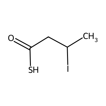 CC(I)CC(=O)S